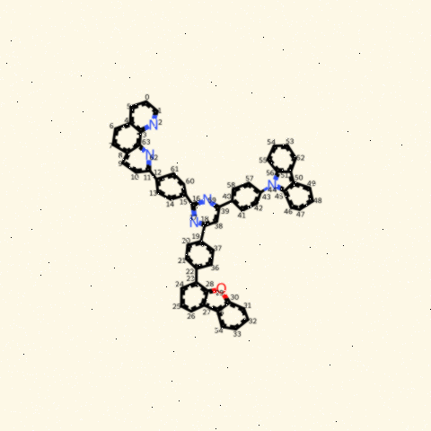 c1cnc2c(c1)ccc1ccc(-c3ccc(-c4nc(-c5ccc(-c6cccc7c6oc6ccccc67)cc5)cc(-c5ccc(-n6c7ccccc7c7ccccc76)cc5)n4)cc3)nc12